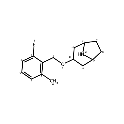 Cc1cccc(F)c1COC1CC2CCC(C1)N2